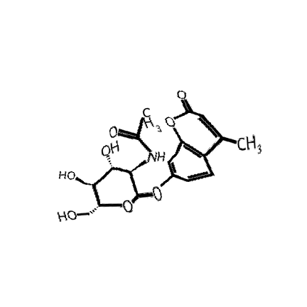 CC(=O)N[C@H]1C(Oc2ccc3c(C)cc(=O)oc3c2)O[C@H](CO)[C@@H](O)[C@@H]1O